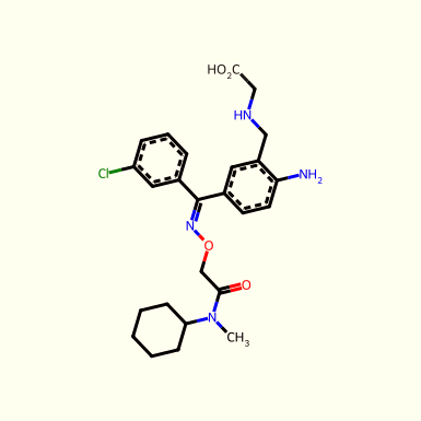 CN(C(=O)CO/N=C(/c1cccc(Cl)c1)c1ccc(N)c(CNCC(=O)O)c1)C1CCCCC1